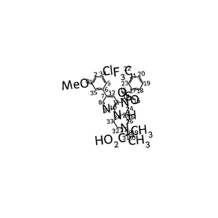 COc1cc(Cl)cc(-c2cnc3c(c2)N(S(=O)(=O)c2cccc(C(F)(F)F)c2)C[C@@H]2CN(C(C)(C)C(=O)O)CCN32)c1